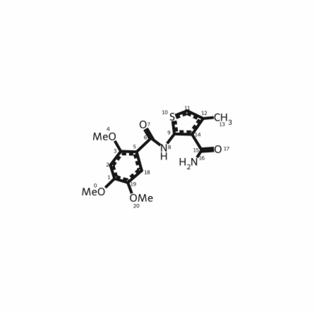 COc1cc(OC)c(C(=O)Nc2scc(C)c2C(N)=O)cc1OC